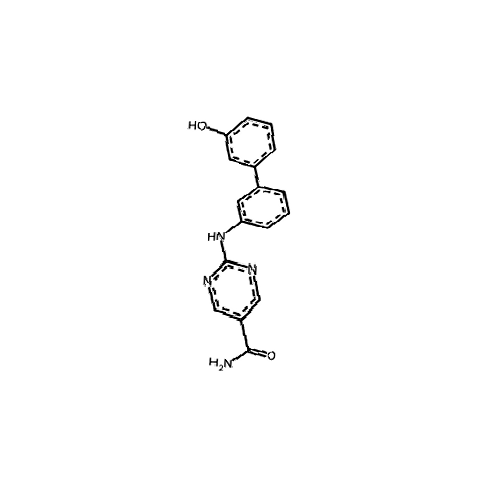 NC(=O)c1cnc(Nc2cccc(-c3cccc(O)c3)c2)nc1